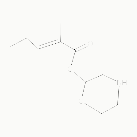 CCC=C(C)C(=O)OC1CNCCO1